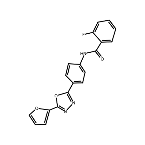 O=C(Nc1ccc(-c2nnc(-c3ccco3)o2)cc1)c1ccccc1F